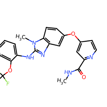 CNC(=O)c1cc(Oc2ccc3c(c2)nc(Nc2ccccc2OC(F)(F)F)n3C)ccn1